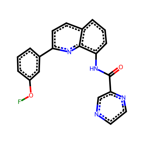 O=C(Nc1cccc2ccc(-c3cccc(OF)c3)nc12)c1cnccn1